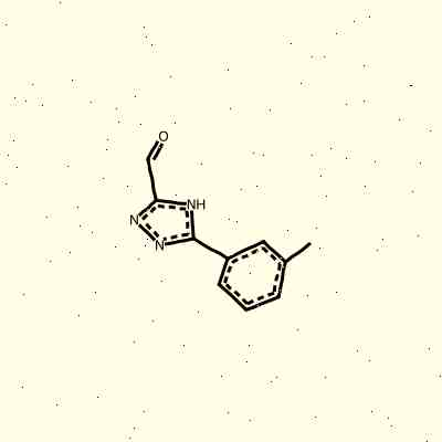 Cc1cccc(-c2nnc(C=O)[nH]2)c1